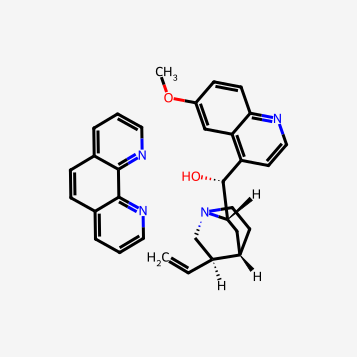 C=C[C@H]1C[N@]2CC[C@H]1C[C@H]2[C@H](O)c1ccnc2ccc(OC)cc12.c1cnc2c(c1)ccc1cccnc12